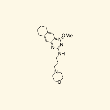 CO[n+]1nc(NCCCN2CCOCC2)nc2cc3c(cc21)CCCC3